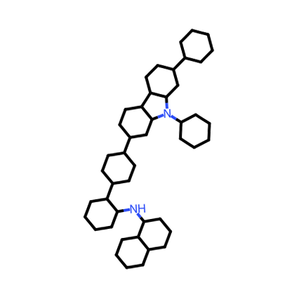 C1CCC(C2CCC3C4CCC(C5CCC(C6CCCCC6NC6CCCC7CCCCC76)CC5)CC4N(C4CCCCC4)C3C2)CC1